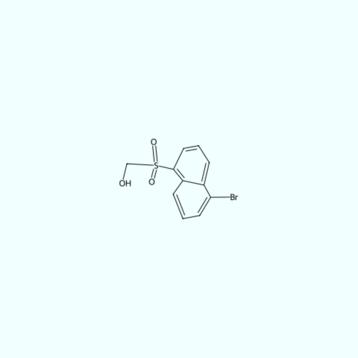 O=S(=O)(CO)c1cccc2c(Br)cccc12